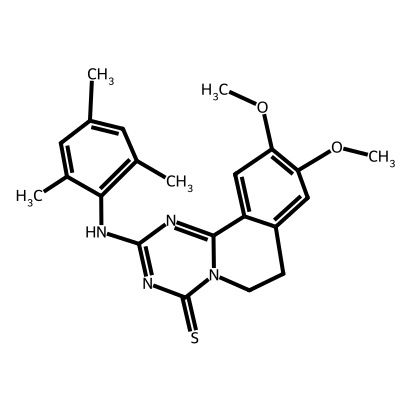 COc1cc2c(cc1OC)-c1nc(Nc3c(C)cc(C)cc3C)nc(=S)n1CC2